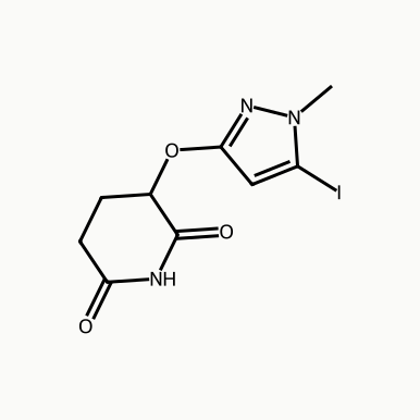 Cn1nc(OC2CCC(=O)NC2=O)cc1I